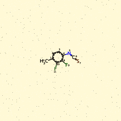 Cc1ccc(N=C=S)c(F)c1F